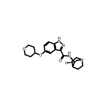 O=C(N[C@@H]1CN2CCC1CC2)c1n[nH]c2ccc(OC3CCOCC3)cc12